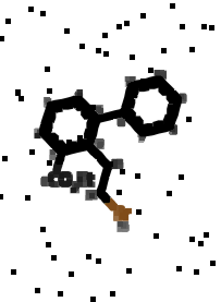 CCOC(=O)c1cccc(-c2ccccc2)c1CCBr